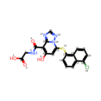 O=C(O)CNC(=O)c1c(O)cc(Sc2cccc3c(Cl)cccc23)n2ncnc12